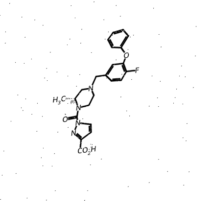 C[C@@H]1CN(Cc2ccc(F)c(Oc3ccccc3)c2)CCN1C(=O)n1ccc(C(=O)O)n1